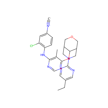 [C-]#[N+]c1ccc(Nc2ncnc(OC3C4COCC3CN(c3ncc(CC)cn3)C4)c2C)c(Cl)c1